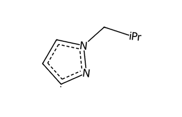 CC(C)Cn1cc[c]n1